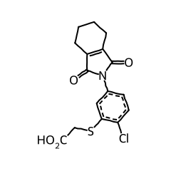 O=C(O)CSc1cc(N2C(=O)C3=C(CCCC3)C2=O)ccc1Cl